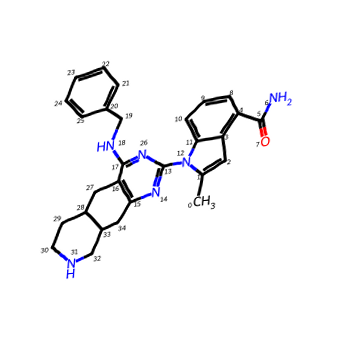 Cc1cc2c(C(N)=O)cccc2n1-c1nc2c(c(NCc3ccccc3)n1)CC1CCNCC1C2